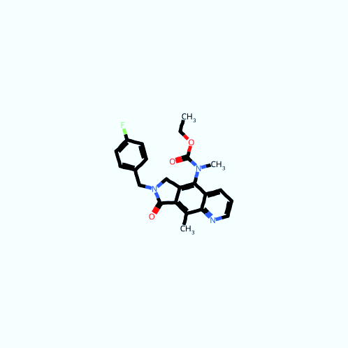 CCOC(=O)N(C)c1c2c(c(C)c3ncccc13)C(=O)N(Cc1ccc(F)cc1)C2